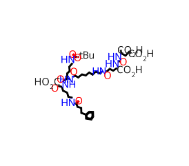 CC(C)(C)OC(=O)NCCCCC(NC(=O)CCCCCCCNC(=O)CCC(NC(=O)NC(CCC(=O)O)C(=O)O)C(=O)O)C(=O)NC(CCCCNC(=O)CCCc1ccccc1)C(=O)C(=O)O